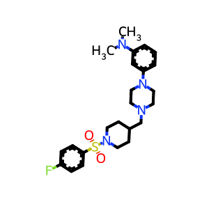 CN(C)c1cccc(N2CCN(CC3CCN(S(=O)(=O)c4ccc(F)cc4)CC3)CC2)c1